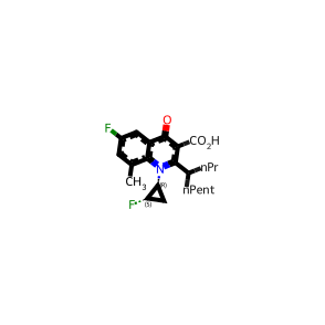 CCCCCC(CCC)c1c(C(=O)O)c(=O)c2cc(F)cc(C)c2n1[C@@H]1C[C@@H]1F